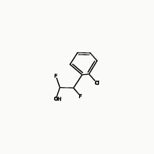 OC(F)C(F)c1ccccc1Cl